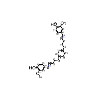 COc1cc(/C=N/CCCN2CCN(CCC/N=C/c3ccc(O)c(OC)c3)CC2)ccc1O